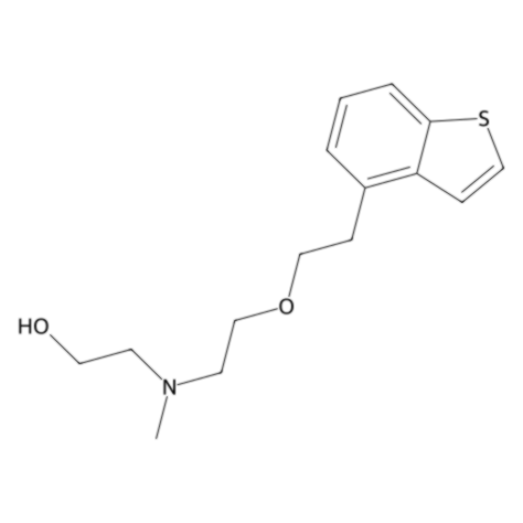 CN(CCO)CCOCCc1cccc2sccc12